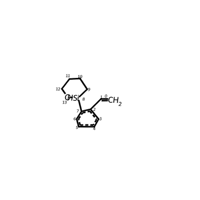 C=Cc1ccccc1[SiH]1CCCCO1